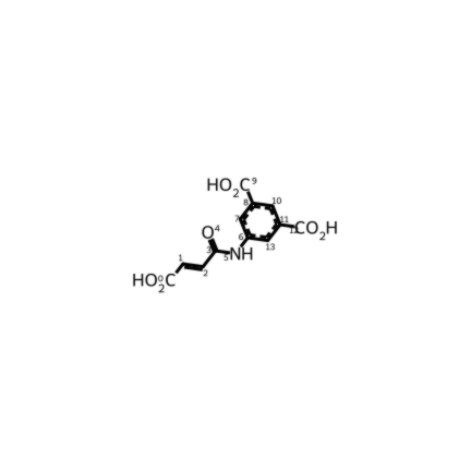 O=C(O)C=CC(=O)Nc1cc(C(=O)O)cc(C(=O)O)c1